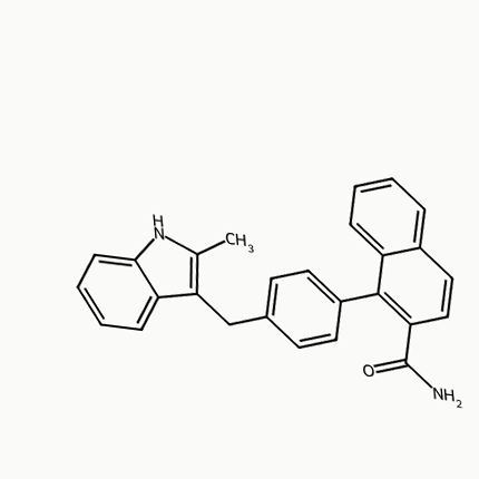 Cc1[nH]c2ccccc2c1Cc1ccc(-c2c(C(N)=O)ccc3ccccc23)cc1